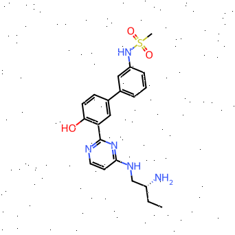 CC[C@@H](N)CNc1ccnc(-c2cc(-c3cccc(NS(C)(=O)=O)c3)ccc2O)n1